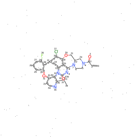 C=CC(=O)N1CCN2c3nc(=O)n4c5cc(c(Cl)c(c35)OCC2C1)c1c(F)cccc1oc1ccnc(C(C)C)c14